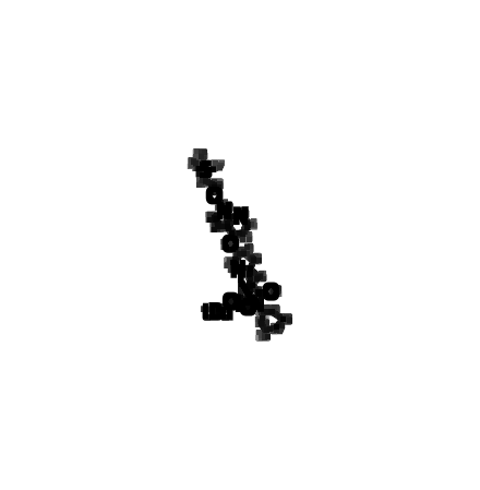 CC(C)(C)OC(=O)N[C@@H](Cc1ccc(Oc2ccnc3c2ccn3COCCS(C)(C)C)cn1)C(=O)NC1CCCCC1